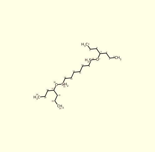 CCCC(CCC)O[SiH2]CCCCCC[SiH2]OC(CCC)CCC